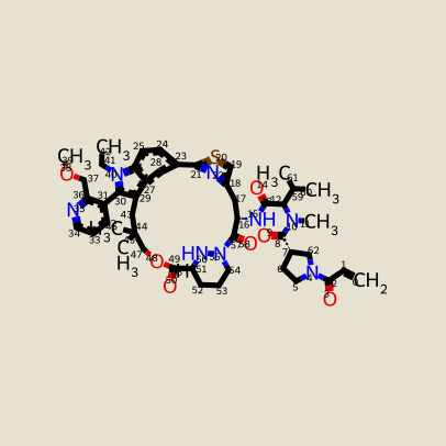 C=CC(=O)N1CC[C@H](C(=O)N(C)C(C(=O)N[C@H]2Cc3csc(n3)-c3ccc4c(c3)c(c(-c3cccnc3COC)n4CC)CC(C)(C)COC(=O)[C@@H]3CCCN(N3)C2=O)C(C)C)C1